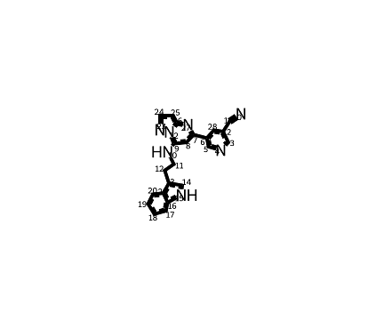 N#Cc1cncc(-c2cc(NCCc3c[nH]c4ccccc34)n3nccc3n2)c1